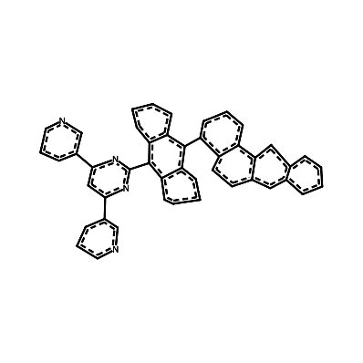 c1cncc(-c2cc(-c3cccnc3)nc(-c3c4ccccc4c(-c4cccc5c4ccc4cc6ccccc6cc45)c4ccccc34)n2)c1